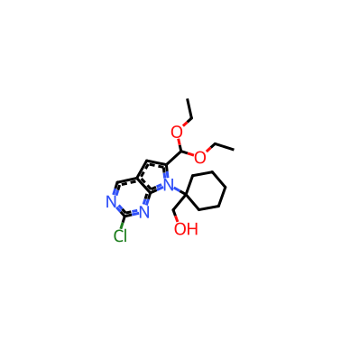 CCOC(OCC)c1cc2cnc(Cl)nc2n1C1(CO)CCCCC1